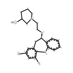 O=C(O)C1CCCN(CCO[C@@H]2Cc3cc(Cl)cc(Cl)c3Sc3ccccc32)C1